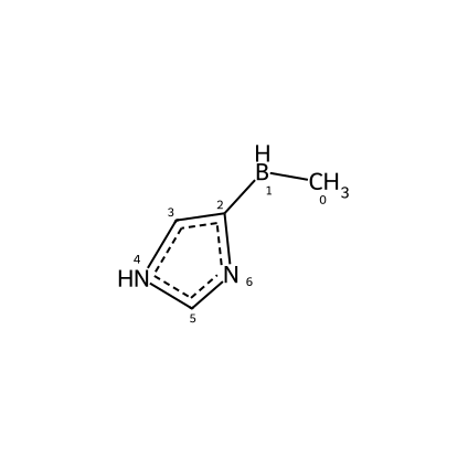 CBc1c[nH]cn1